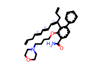 C=CC/C=C/C=C/C=C(/CC=C)c1c(-c2ccccc2)ccc(C(N)=O)c1OCCCCN1CCOCC1